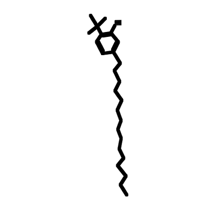 CCCCCCCCCCCCCCCc1ccc(C(C)(C)C)c(S)c1